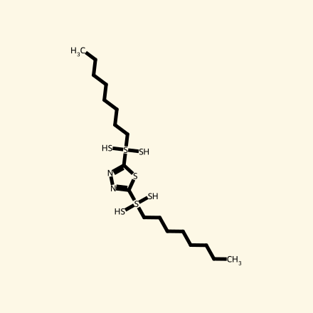 CCCCCCCCS(S)(S)c1nnc(S(S)(S)CCCCCCCC)s1